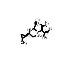 C#CC(N/C(CC(C)(C)C)=C1\CC1C)SC(=C(C)C)/C(=C\CC)CCC